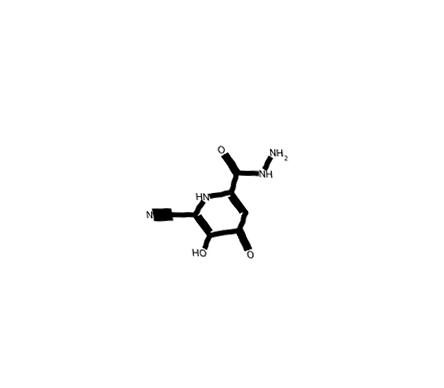 N#Cc1[nH]c(C(=O)NN)cc(=O)c1O